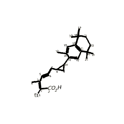 CCC(C(=O)O)=C(C)C=CCC1CC1c1cc2c(cc1C)C(C)(C)CCC2(C)C